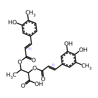 Cc1ccc(/C=C/C(=O)OC(C)C(OC(=O)/C=C/c2cc(C)c(O)c(O)c2)C(=O)O)cc1O